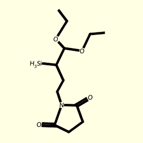 CCOC(OCC)C([SiH3])CCN1C(=O)CCC1=O